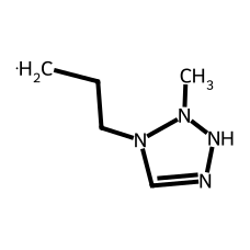 [CH2]CCN1C=NNN1C